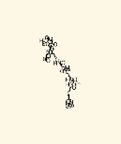 CC[C@@]1(O)C(=O)OCc2c1cc1n(c2=O)Cc2c-1nc1cc3c(cc1c2CCCOCNC(=O)CNC(=O)[C@H](CCCCNC(=O)[C@@H](NC(=O)CCCC#Cc1cnc(S(C)(=O)=O)nc1)C(C)C)N(C)C)OCO3